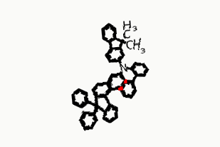 CC1(C)c2ccccc2-c2ccc(N(c3ccc4c5c(ccc4c3)C(c3ccccc3)(c3ccccc3)c3ccccc3-5)c3ccccc3-c3ccccc3)cc21